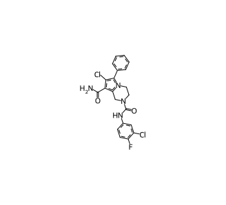 NC(=O)c1c(Cl)c(-c2ccccc2)n2c1CN(C(=O)Nc1ccc(F)c(Cl)c1)CC2